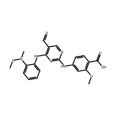 COc1cc(Nc2ncc(C=O)c(Nc3ccccc3N(C)SC)n2)ccc1C(=O)O